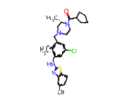 Cc1c(CN2CCN(C(=O)C3CCCC3)[C@@H](C)C2)cc(Cl)cc1Nc1nc2cc(C#N)ccc2s1